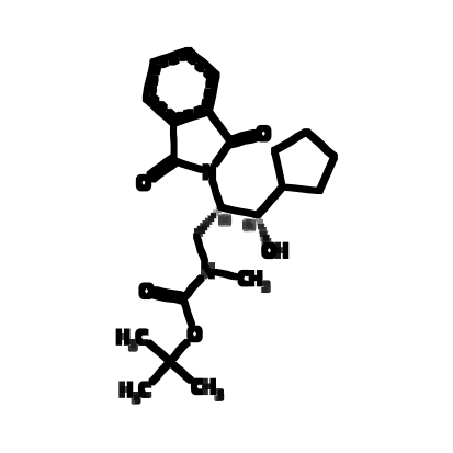 CN(C[C@@H]([C@@H](O)C1CCCC1)N1C(=O)c2ccccc2C1=O)C(=O)OC(C)(C)C